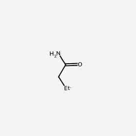 C[CH]CC(N)=O